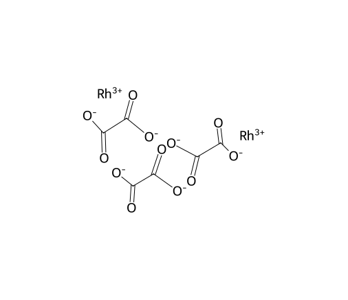 O=C([O-])C(=O)[O-].O=C([O-])C(=O)[O-].O=C([O-])C(=O)[O-].[Rh+3].[Rh+3]